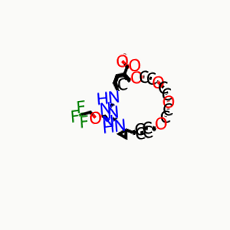 COC(=O)c1ccc2cc1OCCOCCOCCOc1ccc(cc1)C1(CC1)Nc1nc(nc(OCC(F)(F)F)n1)N2